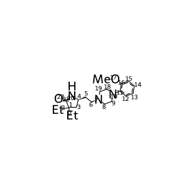 CCC1(CC)C[C@H](CCN2CCN(c3ccccc3OC)CC2)NC1=O